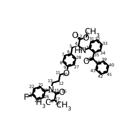 COC(=O)[C@H](Cc1ccc(OCCCN(C(=O)C(C)C)c2ccc(F)cc2)cc1)Nc1ccccc1C(=O)c1ccccc1